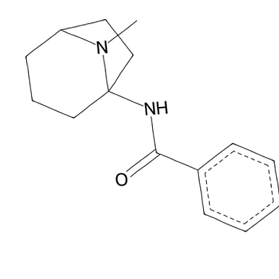 CN1C2CCCC1(NC(=O)c1ccccc1)CC2